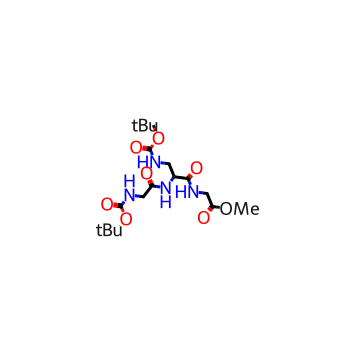 COC(=O)CNC(=O)C(CNC(=O)OC(C)(C)C)NC(=O)CNC(=O)OC(C)(C)C